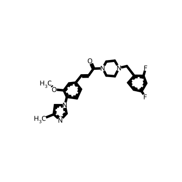 COc1cc(C=CC(=O)N2CCN(Cc3ccc(F)cc3F)CC2)ccc1-n1cnc(C)c1